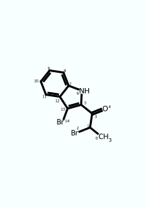 CC(Br)C(=O)c1[nH]c2ccccc2c1Br